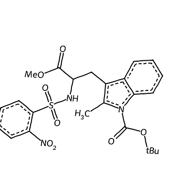 COC(=O)C(Cc1c(C)n(C(=O)OC(C)(C)C)c2ccccc12)NS(=O)(=O)c1ccccc1[N+](=O)[O-]